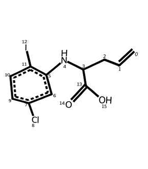 C=CCC(Nc1cc(Cl)ccc1I)C(=O)O